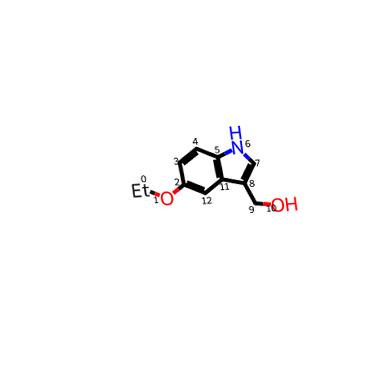 CCOc1ccc2[nH]cc(CO)c2c1